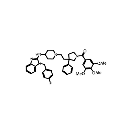 COc1cc(C(=O)N2CCC(CCN3CCC(Nc4nc5ccccc5n4Cc4ccc(F)cc4)CC3)(c3ccccc3)C2)cc(OC)c1OC